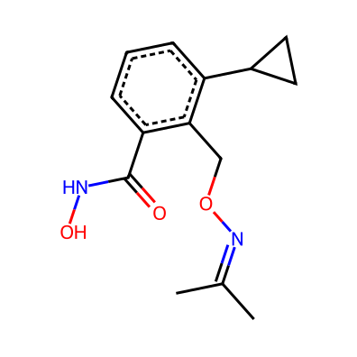 CC(C)=NOCc1c(C(=O)NO)cccc1C1CC1